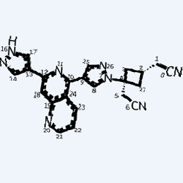 N#CC[C@H]1C[C@](CC#N)(n2cc(-c3nc(-c4cn[nH]c4)cc4ncccc34)cn2)C1